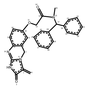 C=c1c(=O)[nH]c2n1Cc1cc(OCC(=O)N(C)C(c3ccccc3)c3ccccc3)ccc1N=2